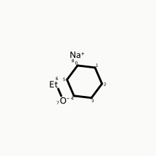 C1CCCCC1.CC[O-].[Na+]